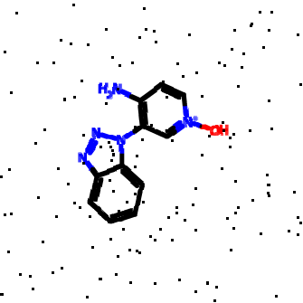 Nc1cc[n+](O)cc1-n1nnc2ccccc21